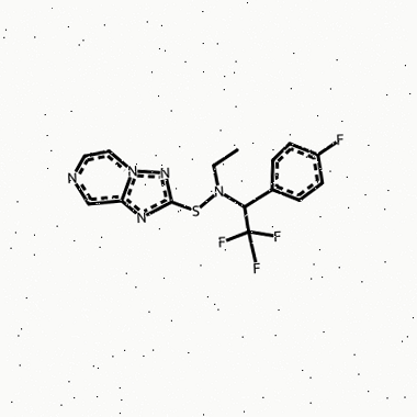 CCN(Sc1nc2cnccn2n1)C(c1ccc(F)cc1)C(F)(F)F